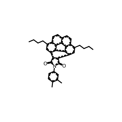 CCCCc1cc2c3c(=O)n(-c4ccc(C)c(C)c4)c(=O)c3c3cc(CCCC)c4ccc5ccc1c1c5c4c3c21